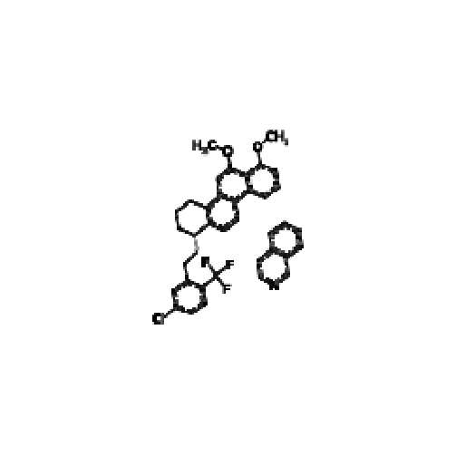 COc1cccc2c1c(OC)cc1c3c(ccc12)[C@H](CCc1cc(Cl)ccc1C(F)(F)F)CCC3.c1ccc2cnccc2c1